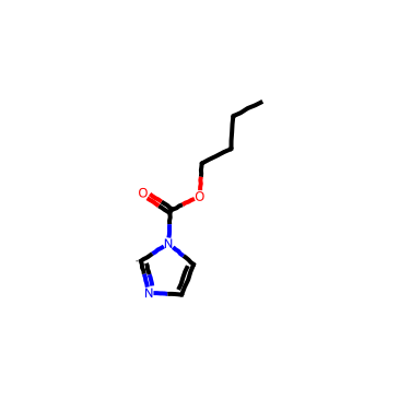 CCCCOC(=O)n1[c]ncc1